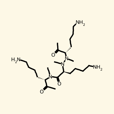 CC(=O)[C@H](CCCCN)N(C)C(=O)[C@H](CCCCN)N(C)N(C)[C@@H](CCCCN)C(C)=O